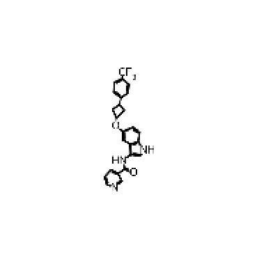 O=C(Nc1c[nH]c2ccc(O[C@H]3C[C@H](c4ccc(C(F)(F)F)cc4)C3)cc12)c1cccnc1